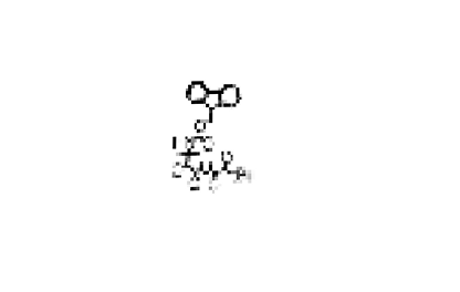 CC(C)(C)C(=O)C(=O)OC(=O)C(=O)C(C)(C)NC(=O)OCC1c2ccccc2-c2ccccc21